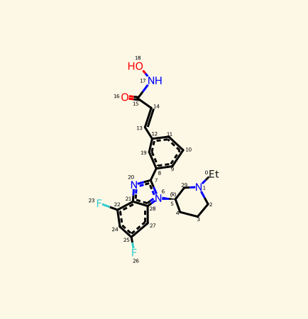 CCN1CCC[C@@H](n2c(-c3cccc(C=CC(=O)NO)c3)nc3c(F)cc(F)cc32)C1